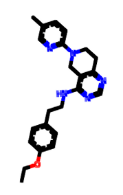 CCOc1ccc(CCNc2ncnc3c2CN(c2ccc(C)cn2)CC3)cc1